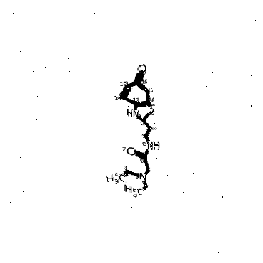 CCN(CC)CC(=O)NCCC1NC2=C(CC(=O)C=C2)S1